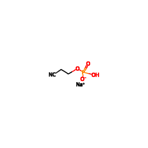 N#CCCOP(=O)([O-])O.[Na+]